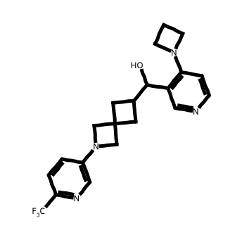 OC(c1cnccc1N1CCC1)C1CC2(C1)CN(c1ccc(C(F)(F)F)nc1)C2